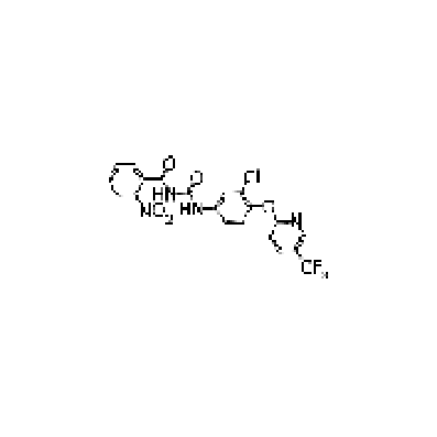 O=C(NC(=O)c1ccccc1[N+](=O)[O-])Nc1ccc(Oc2ccc(C(F)(F)F)cn2)c(Cl)c1